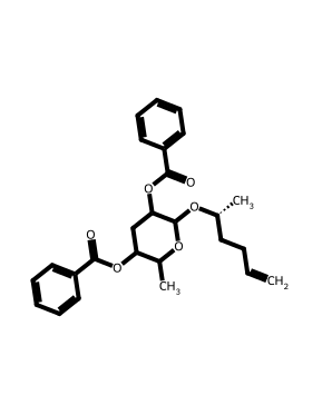 C=CCC[C@@H](C)OC1OC(C)C(OC(=O)c2ccccc2)CC1OC(=O)c1ccccc1